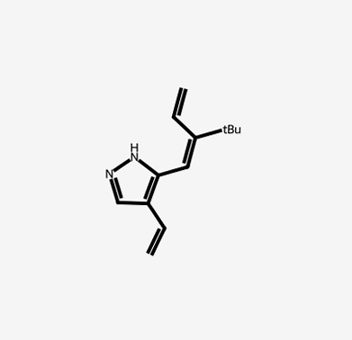 C=C/C(=C\c1[nH]ncc1C=C)C(C)(C)C